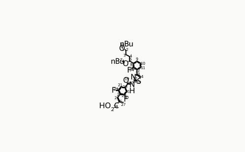 CCCCOCCCC(OCCCC)c1cccc(-c2csc(NC(=O)c3cc(F)c(/C=C(\C)C(=O)O)c(F)c3)n2)c1F